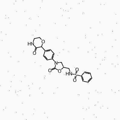 O=C1NCCOC1c1ccc(N2CC(CNS(=O)(=O)c3ccccc3)OC2=O)cc1